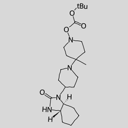 CC(C)(C)OC(=O)ON1CCC(C)(N2CCC(N3C(=O)N[C@H]4CCCC[C@@H]43)CC2)CC1